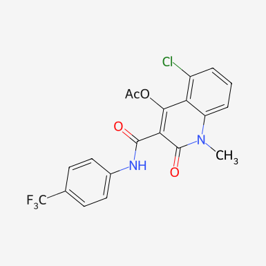 CC(=O)Oc1c(C(=O)Nc2ccc(C(F)(F)F)cc2)c(=O)n(C)c2cccc(Cl)c12